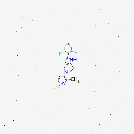 Cc1nc(Cl)ccc1N1CCc2[nH]c(-c3c(F)cccc3F)cc2C1